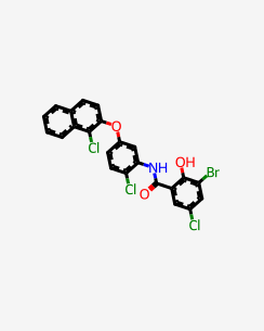 O=C(Nc1cc(Oc2ccc3ccccc3c2Cl)ccc1Cl)c1cc(Cl)cc(Br)c1O